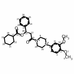 COc1ccc(N2CCN(C(=O)C[C@@H](OC(=O)C3CCCCC3)c3ccccc3)CC2)cc1OC